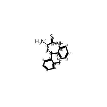 N[C@H]1N=C(c2ccccc2F)c2ccccc2NC1=S